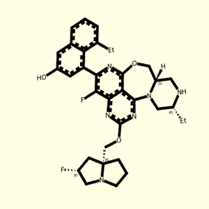 CCc1cccc2cc(O)cc(-c3nc4c5c(nc(OC[C@]67CCCN6C[C@H](F)C7)nc5c3F)N3C[C@@H](CC)NC[C@H]3CO4)c12